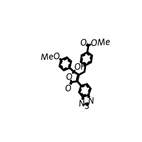 COC(=O)c1ccc(CC2=C(c3ccc4nsnc4c3)C(=O)OC2(O)c2ccc(OC)cc2)cc1